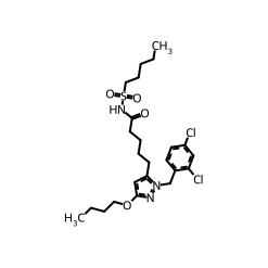 CCCCCS(=O)(=O)NC(=O)CCCCc1cc(OCCCC)nn1Cc1ccc(Cl)cc1Cl